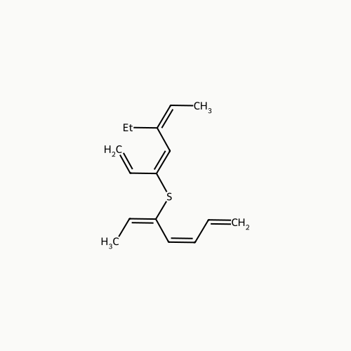 C=C/C=C\C(=C/C)S/C(C=C)=C/C(=C\C)CC